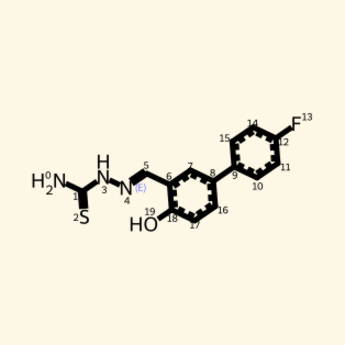 NC(=S)N/N=C/c1cc(-c2ccc(F)cc2)ccc1O